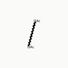 CC(=O)OCCC=CCCCCCCC=CCCCCCCOC(C)=O